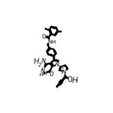 CC#CC(O)N1CC[C@@H](n2cc(-c3ccc(CNC(=O)c4cc(C)ccc4C)cc3)c3c(N)n[nH]c(=O)c32)C1